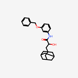 O=C(Nc1cccc(OCc2ccccc2)c1)C(O)CC12CC3CC(CC(C3)C1)C2